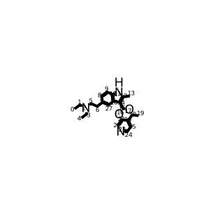 CCN(CC)CCc1ccc2[nH]c(C)c(C(=O)OC(C)c3ccncc3)c2c1